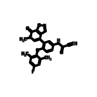 C#CC(=O)Nc1ccc(Oc2c(C)cc(F)cc2C)c(-c2cn(C)c(=O)c3oncc23)c1